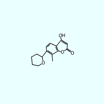 Cc1c(C2CCCCO2)ccc2c(O)cc(=O)oc12